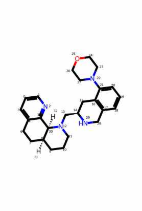 c1cnc2c(c1)CC[C@@H]1CCCN(C[C@H]3Cc4c(cccc4N4CCOCC4)CN3)[C@H]21